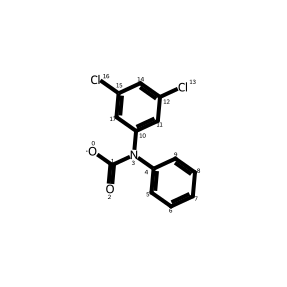 [O]C(=O)N(c1ccccc1)c1cc(Cl)cc(Cl)c1